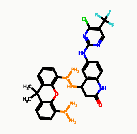 CC1(C)c2cccc(P(P)P)c2Oc2c(P(P)PC3CC(=O)Nc4ccc(Nc5ncc(C(F)(F)F)c(Cl)n5)cc43)cccc21